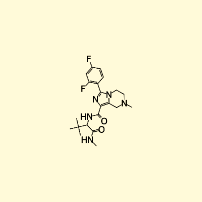 CNC(=O)C(NC(=O)c1nc(-c2ccc(F)cc2F)n2c1CN(C)CC2)C(C)(C)C